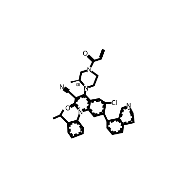 C=CC(=O)N1CCN(c2c(C#N)c(=O)n(-c3ccccc3C(C)C)c3cc(-c4cccc5ccncc45)c(Cl)cc23)[C@@H](C)C1